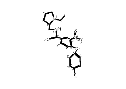 CCN1CCCC1CNC(=O)c1ccc(Oc2ccc(F)cc2)c([N+](=O)[O-])c1